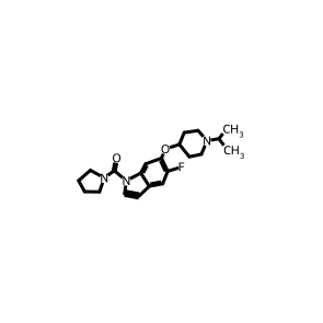 CC(C)N1CCC(Oc2cc3c(c#cn3C(=O)N3CCCC3)cc2F)CC1